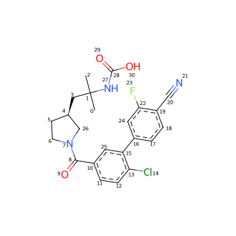 CC(C)(C[C@@H]1CCN(C(=O)c2ccc(Cl)c(-c3ccc(C#N)c(F)c3)c2)C1)NC(=O)O